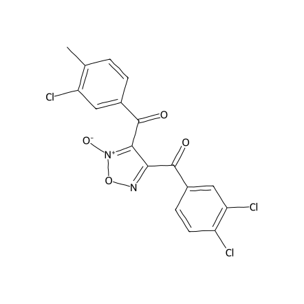 Cc1ccc(C(=O)c2c(C(=O)c3ccc(Cl)c(Cl)c3)no[n+]2[O-])cc1Cl